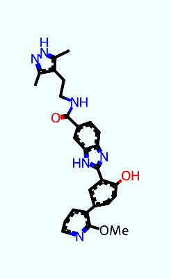 COc1ncccc1-c1ccc(O)c(-c2nc3ccc(C(=O)NCCc4c(C)n[nH]c4C)cc3[nH]2)c1